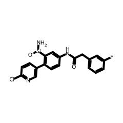 N[S+]([O-])c1cc(NC(=O)Cc2cccc(F)c2)ccc1-c1ccc(Cl)nc1